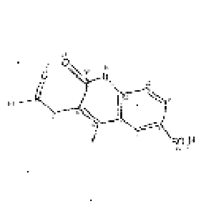 CCC(=O)Cc1c(C)c2cc(S(=O)(=O)O)ccc2oc1=O